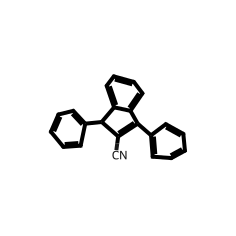 N#CC1=C(c2ccccc2)c2ccccc2C1c1ccccc1